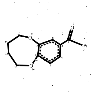 CC(C)C(=O)c1ccc2c(c1)OCCCCO2